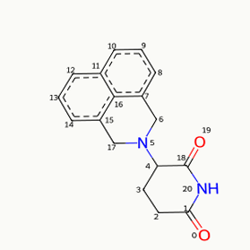 O=C1CCC(N2Cc3cccc4cccc(c34)C2)C(=O)N1